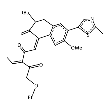 C=C1/C(=C\C(=O)/C(=C\C)C(=O)COCC)c2cc(OC)c(-c3cnc(C)s3)cc2CC1C(C)(C)C